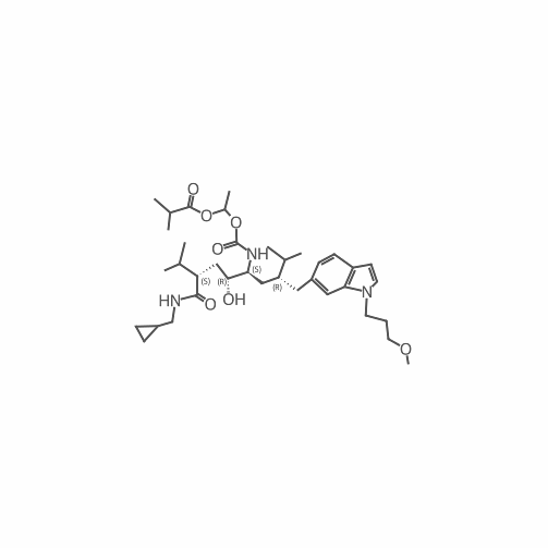 COCCCn1ccc2ccc(C[C@H](C[C@H](NC(=O)OC(C)OC(=O)C(C)C)[C@H](O)C[C@H](C(=O)NCC3CC3)C(C)C)C(C)C)cc21